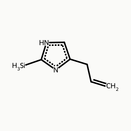 C=CCc1c[nH]c([SiH3])n1